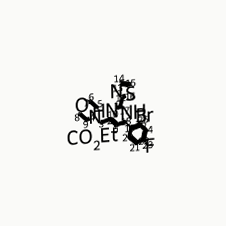 CCOC(=O)C1=C(CN2CCOCC2)NC(c2nccs2)N[C@H]1c1ccc(F)cc1Br